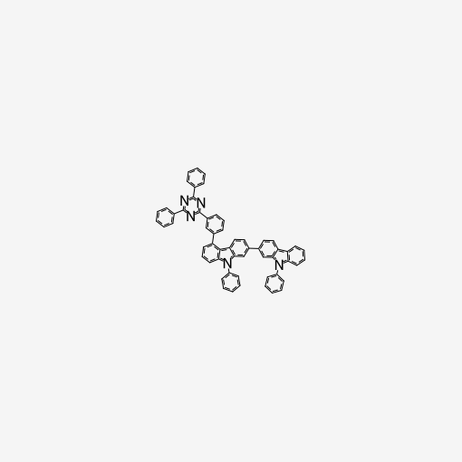 c1ccc(-c2nc(-c3ccccc3)nc(-c3cccc(-c4cccc5c4c4ccc(-c6ccc7c8ccccc8n(-c8ccccc8)c7c6)cc4n5-c4ccccc4)c3)n2)cc1